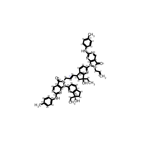 C=CCn1c(=O)c2cnc(Nc3ccc(C)cc3)nc2n1-c1ccc2c(n1)C(O)(CC)CC2/C=C/Cn1c(=O)c2cnc(Nc3ccc(C)cc3)nc2n1-c1ccc2c(n1)[C@@](O)(CC)CC2